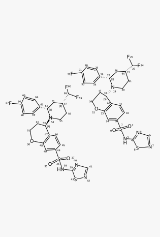 O=S(=O)(Nc1ncns1)c1ccc2c(c1)OCC[C@@H]2N1CC[C@@H](C(F)F)C[C@H]1c1ccc(F)cc1.O=S(=O)(Nc1ncns1)c1ccc2c(c1)OCC[C@H]2N1CC[C@@H](C(F)F)C[C@H]1c1ccc(F)cc1